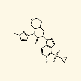 Cn1ccc(NC(=O)C(CC2CCOCC2)n2ncc3c(S(=O)(=O)C4CC4)c(F)ccc32)n1